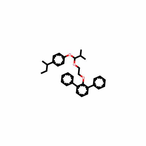 CCC(C)c1ccc(OC(OCCOc2c(-c3ccccc3)cccc2-c2ccccc2)C(C)C)cc1